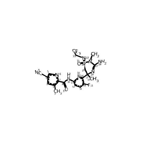 Cc1cc(C#N)cnc1C(=O)Nc1ccc(F)c(C2(C)C[S@@](=O)(=NCC(F)(F)F)N(C)C(N)=N2)n1